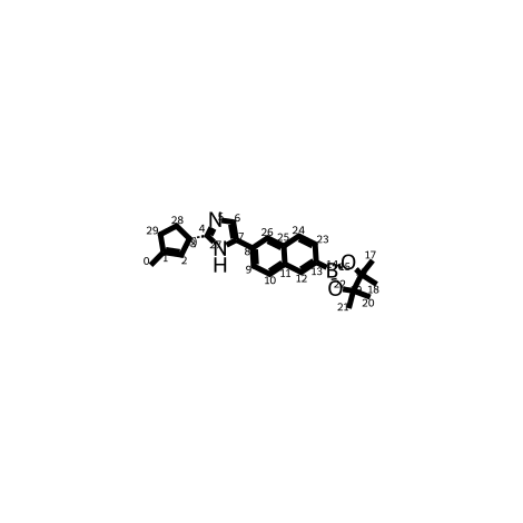 CC1=C[C@@H](c2ncc(-c3ccc4cc(B5OC(C)(C)C(C)(C)O5)ccc4c3)[nH]2)CC1